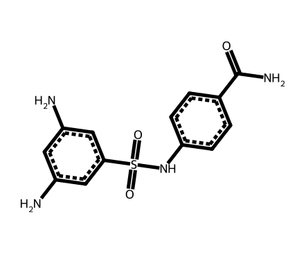 NC(=O)c1ccc(NS(=O)(=O)c2cc(N)cc(N)c2)cc1